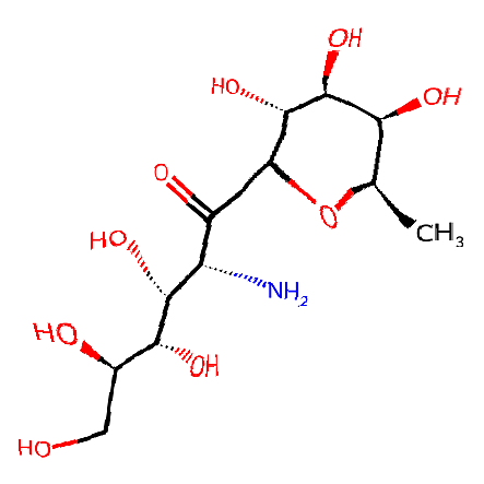 C[C@H]1OC(C(=O)[C@H](N)[C@@H](O)[C@H](O)[C@H](O)CO)[C@H](O)[C@@H](O)[C@H]1O